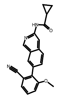 COc1cccc(C#N)c1-c1ccc2cc(NC(=O)C3CC3)ncc2c1